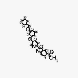 CC(=O)c1ccc2nc(-c3ccc(Oc4cccc(OCc5ccccc5)c4)cn3)oc2c1